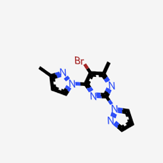 Cc1ccn(-c2nc(-n3cccn3)nc(C)c2Br)n1